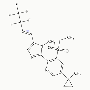 CCS(=O)(=O)c1cc(C2(C)CC2)cnc1-c1ncc(/C=C/C(F)(F)C(F)(F)F)n1C